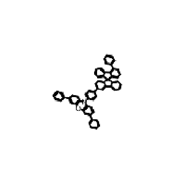 c1ccc(-c2ccc3c(c2)Oc2cc(-c4ccccc4)ccc2N3c2ccc(-c3ccc4c(c3)-c3ccccc3C43c4ccccc4-c4c(-c5ccccc5)cccc43)cc2)cc1